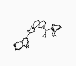 c1ccc2ncc(-c3cc4n(n3)CCC43CCN(C(c4ncc[nH]4)C4CC4)C3)cc2c1